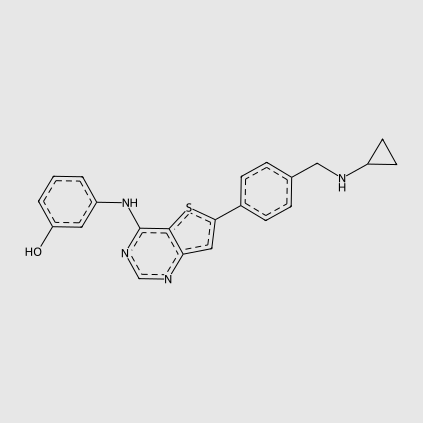 Oc1cccc(Nc2ncnc3cc(-c4ccc(CNC5CC5)cc4)sc23)c1